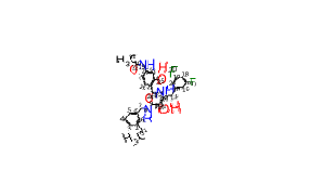 CCc1cccc(CNC[C@@H](O)[C@H](Cc2cc(F)cc(F)c2)NC(=O)c2ccc(NC(C)=O)cc2O)c1